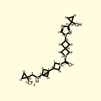 O=C(N1CC(C23CC(NCC4(C(F)(F)F)CC4)(C2)C3)C1)N1CC2(CC(n3cnc(C4(O)CC4)n3)C2)C1